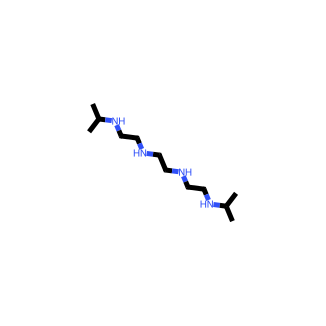 CC(C)NCCNCCNCCNC(C)C